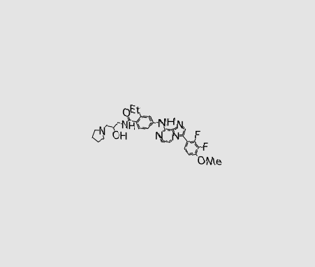 CCc1cc(Nc2nccn3c(-c4ccc(OC)c(F)c4F)cnc23)ccc1C(=O)NCC(O)CN1CCCC1